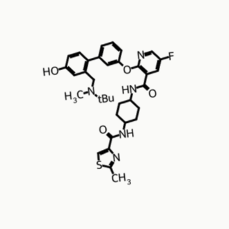 Cc1nc(C(=O)NC2CCC(NC(=O)c3cc(F)cnc3Oc3cccc(-c4ccc(O)cc4CN(C)C(C)(C)C)c3)CC2)cs1